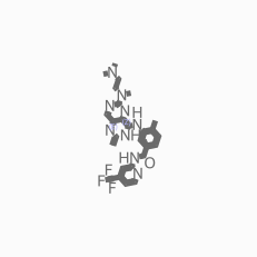 C=C/N=C1/C=NC(N(C)CCN(C)C)=N/C1=C(/N)Nc1cc(C(=O)Nc2cc(C(F)(F)F)ccn2)ccc1C